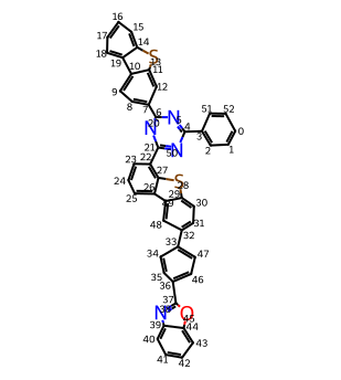 c1ccc(-c2nc(-c3ccc4c(c3)sc3ccccc34)nc(-c3cccc4c3sc3ccc(-c5ccc(-c6nc7ccccc7o6)cc5)cc34)n2)cc1